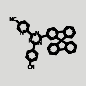 N#Cc1ccc(-c2nc(-c3ccc4c(c3)C3(c5ccccc5-c5ccccc53)c3ccccc3-4)nc(-c3ccc(C#N)cn3)n2)cc1